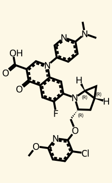 COc1ccc(Cl)c(OC[C@H]2C[C@H]3C[C@H]3N2c2cc3c(cc2F)c(=O)c(C(=O)O)cn3-c2ccc(N(C)C)nc2)n1